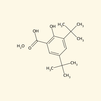 CC(C)(C)c1cc(C(=O)O)c(O)c(C(C)(C)C)c1.O